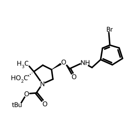 CC(C)(C)OC(=O)N1C[C@H](OC(=O)NCc2cccc(Br)c2)C[C@@]1(C)C(=O)O